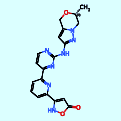 C[C@@H]1Cn2nc(Nc3nccc(-c4cccc(-c5cc(=O)o[nH]5)n4)n3)cc2CO1